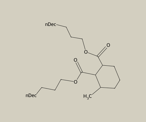 CCCCCCCCCCCCCOC(=O)C1CCCC(C)C1C(=O)OCCCCCCCCCCCCC